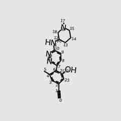 C#Cc1cc(C)c(-c2ccc(N[C@@H]3CCCN(C)C3)nn2)c(O)c1